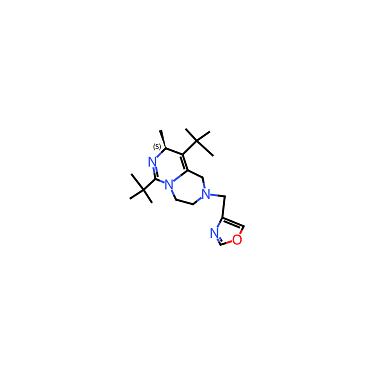 C[C@@H]1N=C(C(C)(C)C)N2CCN(Cc3cocn3)CC2=C1C(C)(C)C